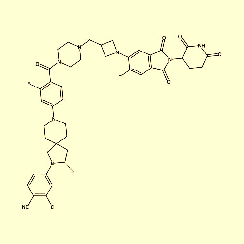 C[C@H]1CC2(CCN(c3ccc(C(=O)N4CCN(CC5CN(c6cc7c(cc6F)C(=O)N(C6CCC(=O)NC6=O)C7=O)C5)CC4)c(F)c3)CC2)CN1c1ccc(C#N)c(Cl)c1